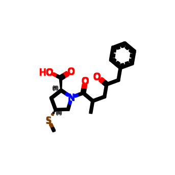 CS[C@@H]1C[C@@H](C(=O)O)N(C(=O)C(C)CC(=O)Cc2ccccc2)C1